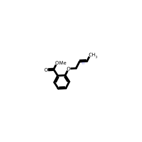 C/C=C/COc1cc[c]cc1C(=O)OC